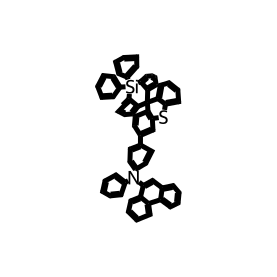 c1ccc(N(c2ccc(-c3ccc4c(c3)Sc3ccccc3C43c4ccccc4[Si](c4ccccc4)(c4ccccc4)c4ccccc43)cc2)c2cc3ccccc3c3ccccc23)cc1